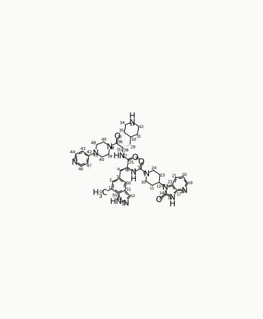 Cc1cc(C[C@H](NC(=O)N2CCC(n3c(=O)[nH]c4ncccc43)CC2)C(=O)N[C@@H](CC2CCNCC2)C(=O)N2CCN(c3ccncc3)CC2)cc2cn[nH]c12